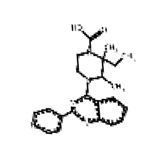 CCC1(C)C(C)N(c2nc(-c3ccncc3)nc3ccccc23)CCN1C(=O)O